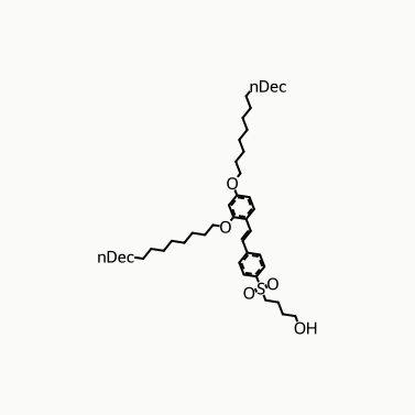 CCCCCCCCCCCCCCCCCCOc1ccc(C=Cc2ccc(S(=O)(=O)CCCCO)cc2)c(OCCCCCCCCCCCCCCCCCC)c1